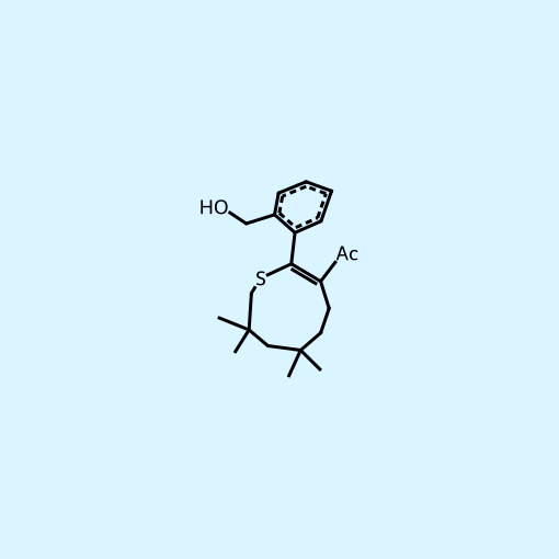 CC(=O)/C1=C(\c2ccccc2CO)SCC(C)(C)CC(C)(C)CC1